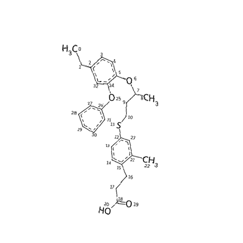 CCc1ccc(OC(C)CCSc2ccc(CCC(=O)O)c(C)c2)c(Oc2ccccc2)c1